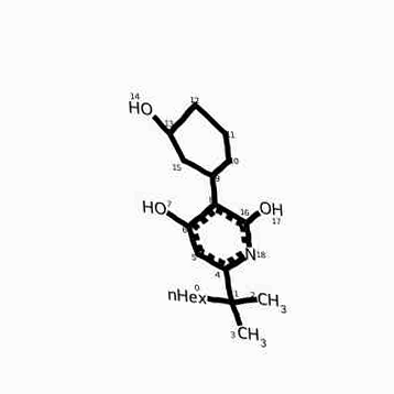 CCCCCCC(C)(C)c1cc(O)c(C2CCCC(O)C2)c(O)n1